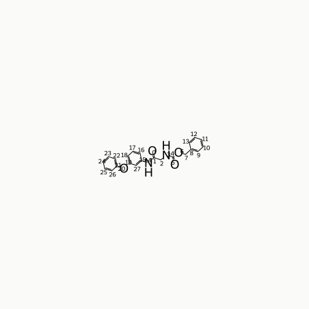 O=C(CNC(=O)OCc1ccccc1)Nc1cccc(Oc2ccccc2)c1